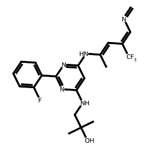 C=N/C=C(\C=C(/C)Nc1cc(NCC(C)(C)O)nc(-c2ccccc2F)n1)C(F)(F)F